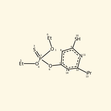 CCOP(=S)(OCC)Oc1cc(S)nc(C(C)C)n1